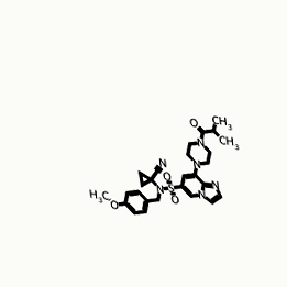 COc1ccc(CN(C2(C#N)CC2)S(=O)(=O)c2cc(N3CCN(C(=O)C(C)C)CC3)c3nccn3c2)cc1